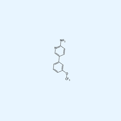 Nc1ccc(-c2cccc(OC(F)(F)F)c2)cn1